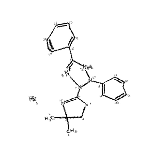 Br.CC1(C)CSC(N2N=C(c3ccccc3)NN2c2ccccc2)=N1